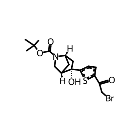 CC(C)(C)OC(=O)N1C[C@@H]2C[C@H]1C[C@@]2(O)c1ccc(C(=O)CBr)s1